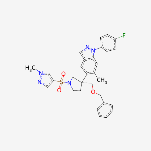 Cc1cc2c(cnn2-c2ccc(F)cc2)cc1C1(COCc2ccccc2)CCN(S(=O)(=O)c2cnn(C)c2)C1